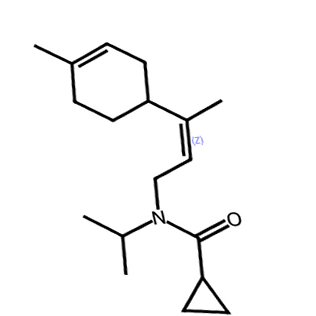 CC1=CCC(/C(C)=C\CN(C(=O)C2CC2)C(C)C)CC1